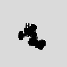 Cc1cccc(-c2nc(CN(Cc3ccccc3N(C)C)C(=O)OCc3ccc(NC(=O)[C@H](CCCNC(N)=O)NC(=O)C(NC(=O)CCCCCN4C(=O)C=CC4=O)C(C)C)cc3)[nH]c2-c2ccc3ncnn3c2)n1